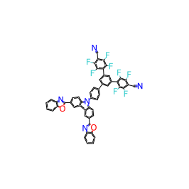 N#Cc1c(F)c(F)c(-c2cc(-c3ccc(-n4c5ccc(-c6nc7ccccc7o6)cc5c5cc(-c6nc7ccccc7o6)ccc54)cc3)cc(-c3c(F)c(F)c(C#N)c(F)c3F)c2)c(F)c1F